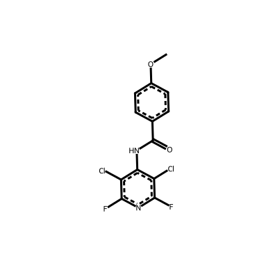 COc1ccc(C(=O)Nc2c(Cl)c(F)nc(F)c2Cl)cc1